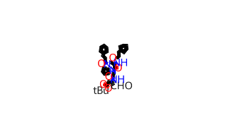 CC(C)(C)OC(=O)CC(C=O)NC(=O)CN1C(=O)C(NC(=O)CCc2ccccc2)CN(C(=O)CCc2ccccc2)c2ccccc21